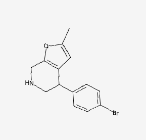 Cc1cc2c(o1)CNCC2c1ccc(Br)cc1